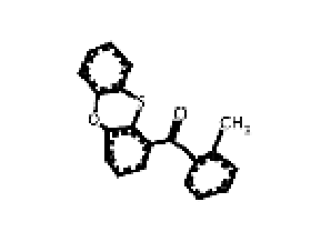 Cc1ccccc1C(=O)c1cccc2c1Sc1ccccc1O2